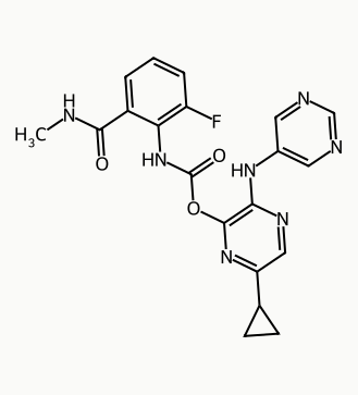 CNC(=O)c1cccc(F)c1NC(=O)Oc1nc(C2CC2)cnc1Nc1cncnc1